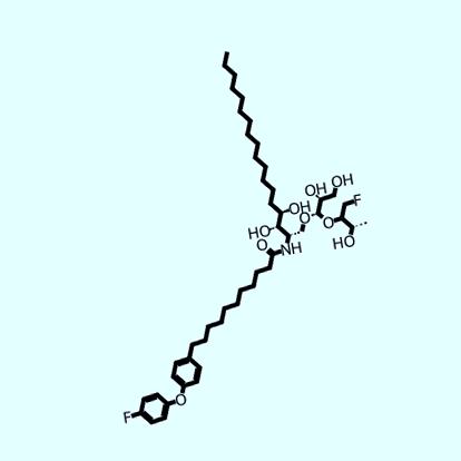 CCCCCCCCCCCCCC[C@@H](O)[C@@H](O)[C@H](CO[C@@H](OC(CF)[C@H](C)O)[C@H](O)CO)NC(=O)CCCCCCCCCCc1ccc(Oc2ccc(F)cc2)cc1